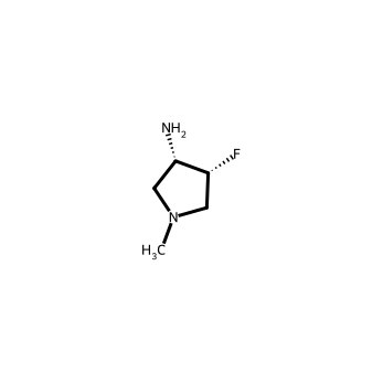 CN1C[C@@H](F)[C@@H](N)C1